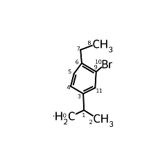 [CH2]C(C)c1ccc(CC)c(Br)c1